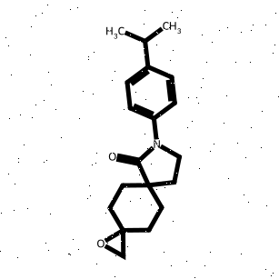 CC(C)c1ccc(N2CCC3(CCC4(CC3)CO4)C2=O)cc1